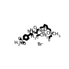 CC(C)[C@@H](C(=O)NCc1ccc(C[N+](C)(C)CCF)o1)n1cc(-c2ccc(S(N)(=O)=O)cc2)nn1.[Br-]